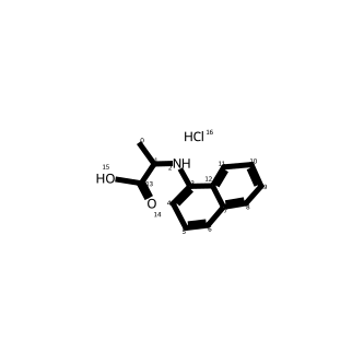 CC(Nc1cccc2ccccc12)C(=O)O.Cl